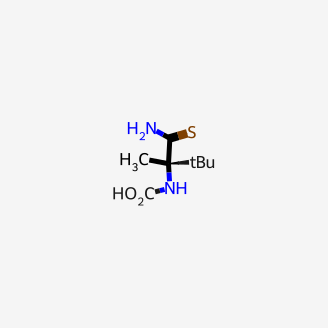 CC(C)(C)[C@](C)(NC(=O)O)C(N)=S